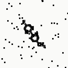 Cc1c[c]c(-c2ncc(F)cn2)nc1